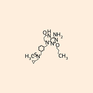 CCCCOc1nc(N)c2c(n1)N(Cc1cccc(CN(CC3CC3)SC)c1)CCC(=O)N2